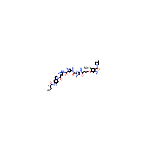 C=Nc1cc(OCCCC(=O)Nc2cn(C)c(C(=O)Nc3cc(C(=O)Nc4cc(C(=O)n5ccc6cc(NC(=O)[C@H](C)CC(C)=O)ccc65)n(C)c4)n(C)c3)n2)c(OC)cc1C(=O)N1CCC(=C)C1